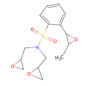 CC1OC1c1ccccc1S(=O)(=O)N(CC1CO1)CC1CO1